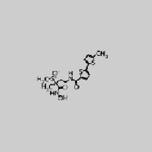 Cc1ccc(-c2ccc(C(=O)NCCC(C)(C(=O)NO)[S+](C)[O-])s2)s1